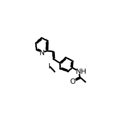 CC(=O)Nc1ccc(C=Cc2ccccn2)cc1.CI